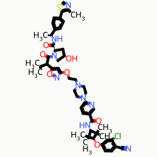 Cc1ncsc1-c1ccc([C@H](C)NC(=O)[C@@H]2C[C@@H](O)CN2C(=O)C(c2cc(OCCN3CCN(c4ccc(C(=O)N[C@H]5C(C)(C)[C@H](Oc6ccc(C#N)c(Cl)c6)C5(C)C)cn4)CC3)no2)C(C)C)cc1